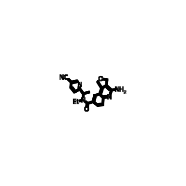 CCN(C(=O)c1ccc2nc(N)c3c(c2c1)COC3)C(C)c1ccc(C#N)cn1